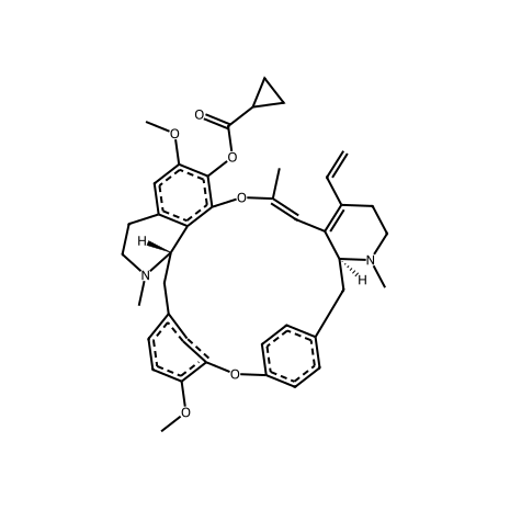 C=CC1=C2/C=C(\C)Oc3c(OC(=O)C4CC4)c(OC)cc4c3[C@H](Cc3ccc(OC)c(c3)Oc3ccc(cc3)C[C@@H]2N(C)CC1)N(C)CC4